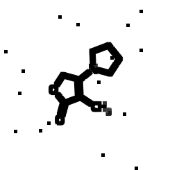 CC1=C(N2CCCC2)COC1=O